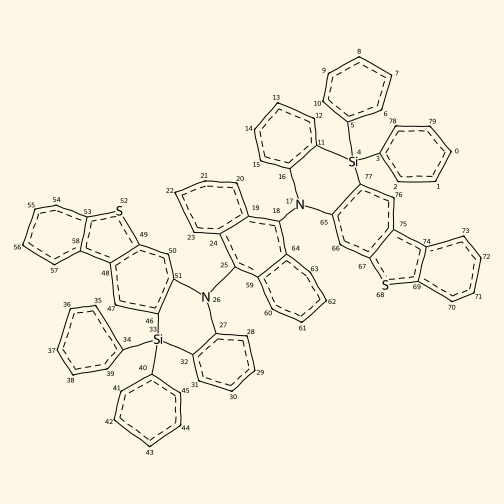 c1ccc([Si]2(c3ccccc3)c3ccccc3N(c3c4ccccc4c(N4c5ccccc5[Si](c5ccccc5)(c5ccccc5)c5cc6c(cc54)sc4ccccc46)c4ccccc34)c3cc4sc5ccccc5c4cc32)cc1